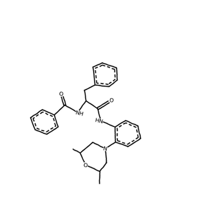 CC1CN(c2ccccc2NC(=O)C(Cc2ccccc2)NC(=O)c2ccccc2)CC(C)O1